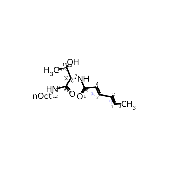 C/C=C/C=C/C(=O)N[C@H](C(=O)NCCCCCCCC)[C@@H](C)O